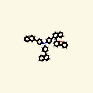 c1ccc2cc(-c3ccc(N(c4ccc(-c5ccc6ccccc6c5-c5cccc6c5oc5ccccc56)cc4)c4ccc(-c5cccc6ccccc56)cc4)cc3)ccc2c1